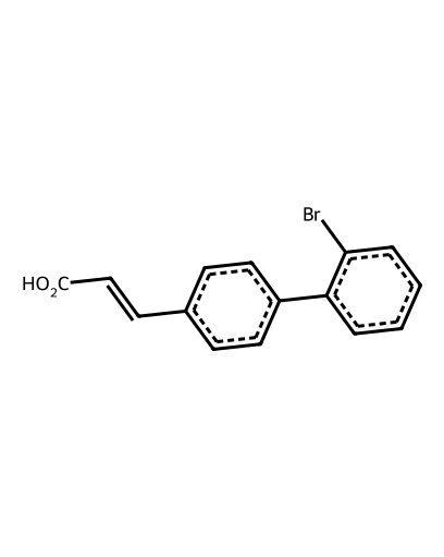 O=C(O)/C=C/c1ccc(-c2ccccc2Br)cc1